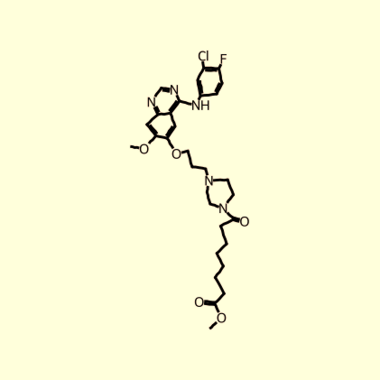 COC(=O)CCCCCCC(=O)N1CCN(CCCOc2cc3c(Nc4ccc(F)c(Cl)c4)ncnc3cc2OC)CC1